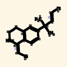 CC/C=C/C(C)(C)c1ccc2c(c1)CCN/C2=C/CC